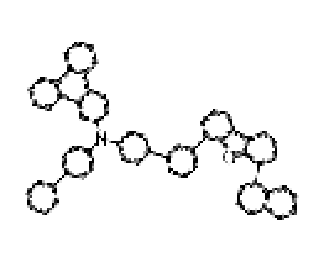 c1ccc(-c2ccc(N(c3ccc(-c4cccc(-c5cccc6c5oc5c(-c7cccc8ccccc78)cccc56)c4)cc3)c3ccc4c5ccccc5c5ccccc5c4c3)cc2)cc1